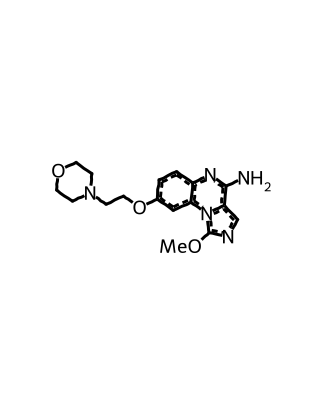 COc1ncc2c(N)nc3ccc(OCCN4CCOCC4)cc3n12